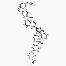 CCc1ccc2c(c1)C1(CCN(C(=O)c3cccc4cc(B5OC(=O)[C@@](c6ccccc6)(c6cccc(C(=O)N7CCC(c8cccc(CN)c8)CC7)c6)O5)ccc34)CC1)CO2